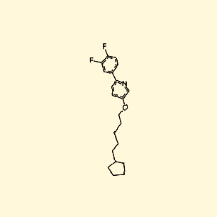 Fc1ccc(-c2ccc(OCCCCCC3CCCC3)cn2)cc1F